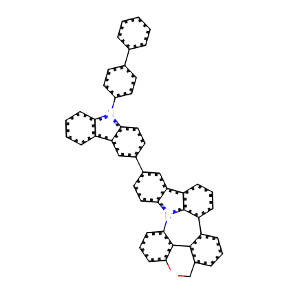 c1ccc(-c2ccc(-n3c4ccccc4c4cc(-c5ccc6c(c5)c5cccc7c5n6-c5cccc6c5-c5c(cccc5-7)CO6)ccc43)cc2)cc1